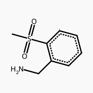 CS(=O)(=O)c1[c]cccc1CN